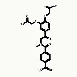 CN(CC(=O)c1ccc(OCC(=O)O)c(OCC(=O)O)c1)C(=O)c1ccc(C(=N)N)cc1